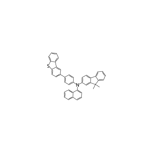 CC1(C)c2ccccc2-c2ccc(N(c3ccc(-c4ccc5sc6ccccc6c5c4)cc3)c3cccc4ccccc34)cc21